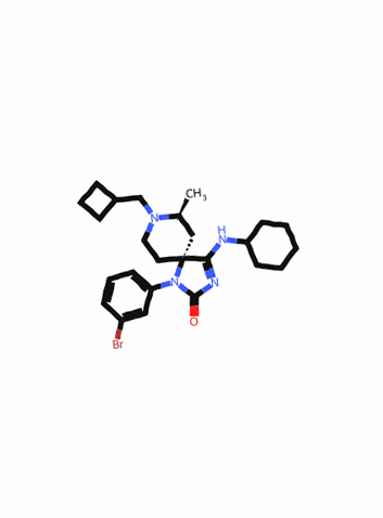 C[C@H]1C[C@]2(CCN1CC1CCC1)C(NC1CCCCC1)=NC(=O)N2c1cccc(Br)c1